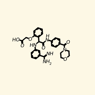 N=C(N)c1cccc(NC(C(=O)Nc2ccc(C(=O)N3CCOCC3)cc2)c2ccccc2OCC(=O)O)c1